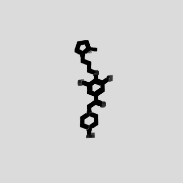 CC(=O)N1CCN(CC(=O)c2cc(Cl)c(OCCCN3CCC[C@H]3C)c(Cl)c2)CC1